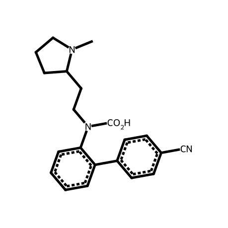 CN1CCCC1CCN(C(=O)O)c1ccccc1-c1ccc(C#N)cc1